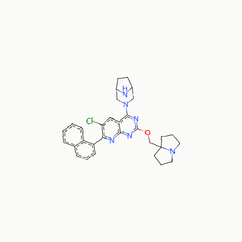 Clc1cc2c(N3CC4CCC(C3)N4)nc(OCC34CCCN3CCC4)nc2nc1-c1cccc2ccccc12